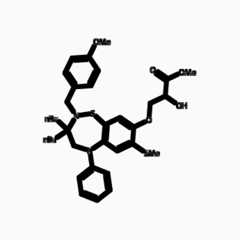 CCCCC1(CCCC)CN(c2ccccc2)c2cc(SC)c(OCC(O)C(=O)OC)cc2SN1Cc1ccc(OC)cc1